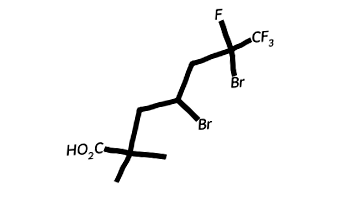 CC(C)(CC(Br)CC(F)(Br)C(F)(F)F)C(=O)O